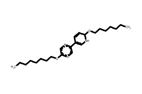 CCCCCCCCOc1cnc(C2=CNC(OCCCCCCC)C=C2)cn1